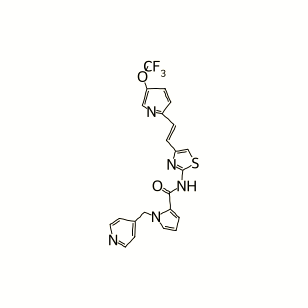 O=C(Nc1nc(/C=C/c2ccc(OC(F)(F)F)cn2)cs1)c1cccn1Cc1ccncc1